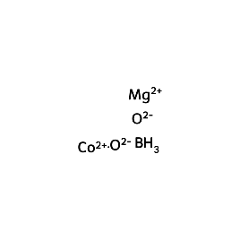 B.[Co+2].[Mg+2].[O-2].[O-2]